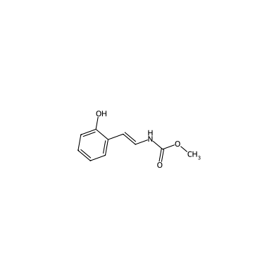 COC(=O)N/C=C/c1ccccc1O